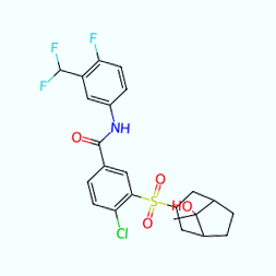 CC1(O)C2CCC1CC(S(=O)(=O)c1cc(C(=O)Nc3ccc(F)c(C(F)F)c3)ccc1Cl)C2